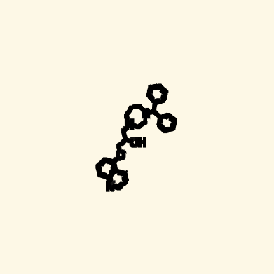 OC(COc1cccc2ncccc12)CN1CCCN(C(c2ccccc2)c2ccccc2)CC1